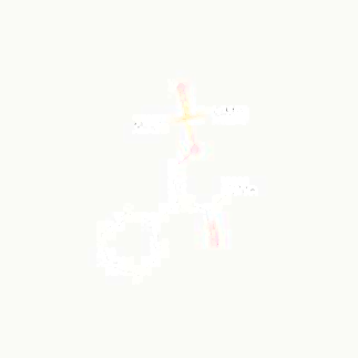 COC(=O)/C(=C\OP(=O)(OC)OC)c1ccccc1